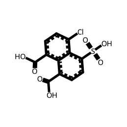 O=C(O)c1ccc(Cl)c2c(S(=O)(=O)O)ccc(C(=O)O)c12